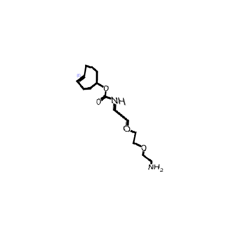 NCCOCCOCCNC(=O)OC1CC/C=C/CCC1